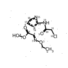 CCON=CC(=O)OO.O=C(CCl)Nc1nccs1